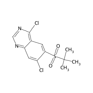 CC(C)(C)S(=O)(=O)c1cc2c(Cl)ncnc2cc1Cl